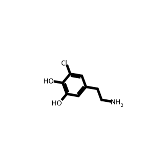 NCCc1cc(O)c(O)c(Cl)c1